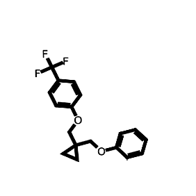 FC(F)(F)c1ccc(OCC2(COc3[c]cccc3)CC2)cc1